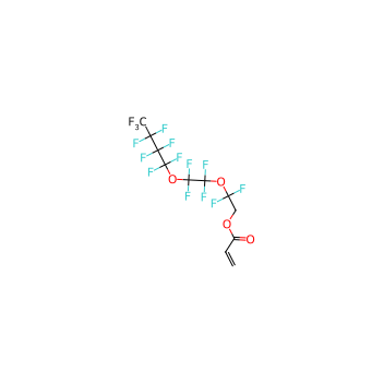 C=CC(=O)OCC(F)(F)OC(F)(F)C(F)(F)OC(F)(F)C(F)(F)C(F)(F)C(F)(F)F